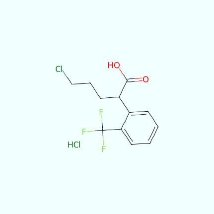 Cl.O=C(O)C(CCCCl)c1ccccc1C(F)(F)F